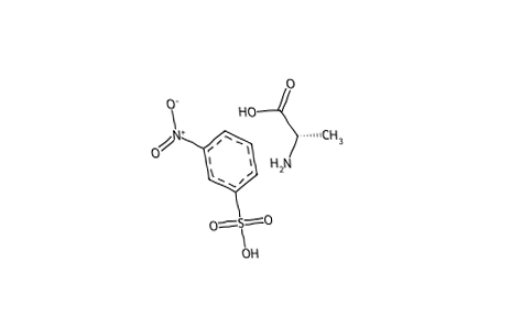 C[C@H](N)C(=O)O.O=[N+]([O-])c1cccc(S(=O)(=O)O)c1